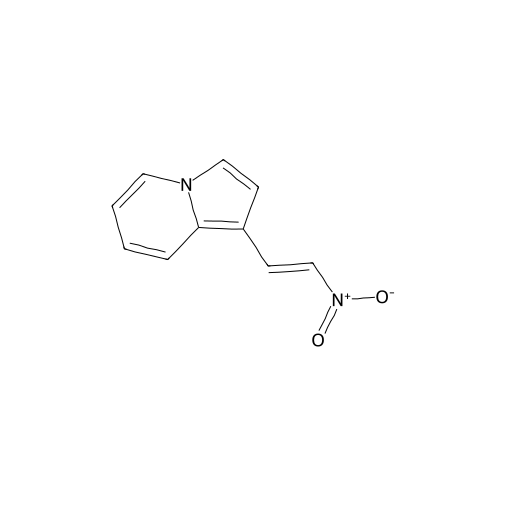 O=[N+]([O-])C=Cc1ccn2ccccc12